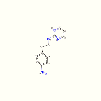 Nc1ccc(CCNc2n[c]ccn2)cc1